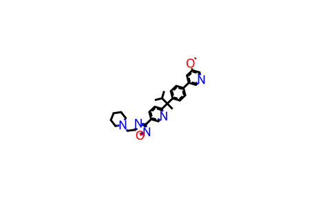 COc1cncc(-c2ccc(C(C)(c3ccc(-c4noc(CN5CCCCC5)n4)cn3)C(C)C)cc2)c1